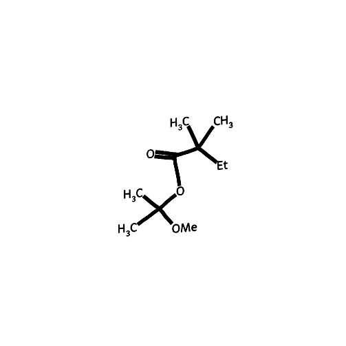 CCC(C)(C)C(=O)OC(C)(C)OC